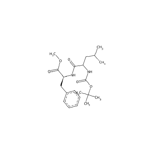 COC(=O)[C@H](Cc1ccccc1)NC(=O)C(CC(C)C)NC(=O)OC(C)(C)C